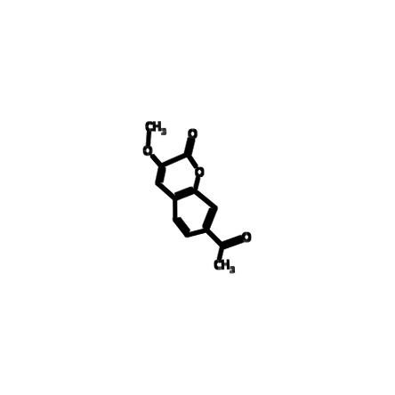 COc1cc2ccc(C(C)=O)cc2oc1=O